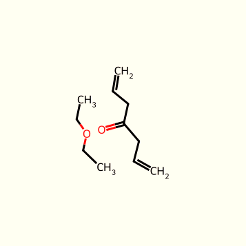 C=CCC(=O)CC=C.CCOCC